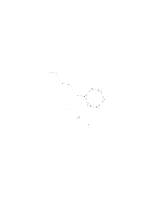 CCCCOc1ccccc1P(=O)(OC)OC